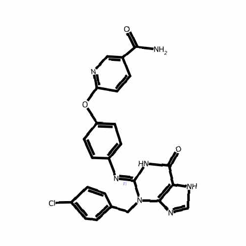 NC(=O)c1ccc(Oc2ccc(/N=c3\[nH]c(=O)c4[nH]cnc4n3Cc3ccc(Cl)cc3)cc2)nc1